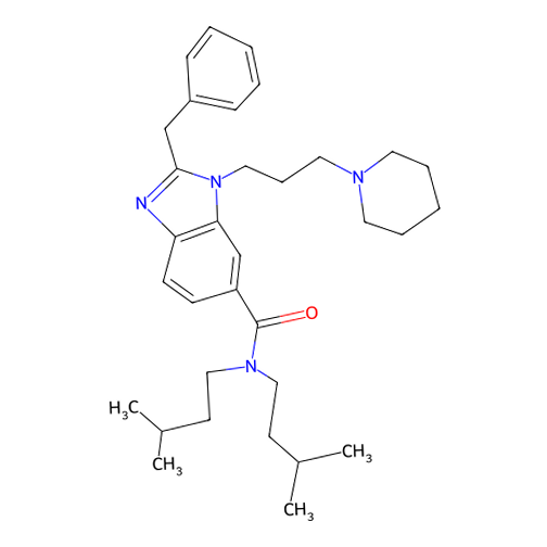 CC(C)CCN(CCC(C)C)C(=O)c1ccc2nc(Cc3ccccc3)n(CCCN3CCCCC3)c2c1